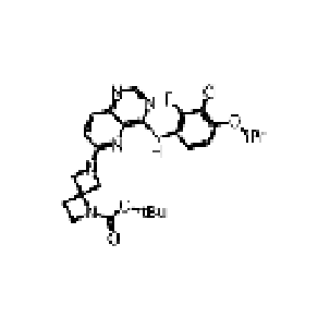 CC(C)Oc1ccc(Nc2ncnc3ccc(N4CC5(CCN5C(=O)OC(C)(C)C)C4)nc23)c(F)c1Cl